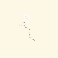 CC(C)=CCCC(C)=CCCC(C)=CCCC(C)=CC(=O)NCCN